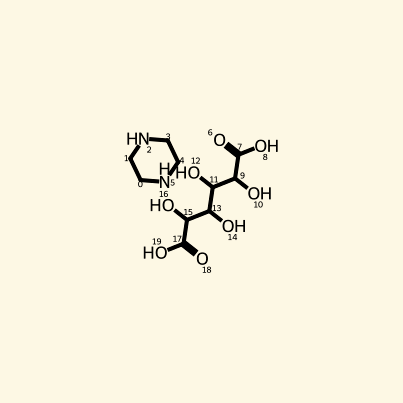 C1CNCCN1.O=C(O)C(O)C(O)C(O)C(O)C(=O)O